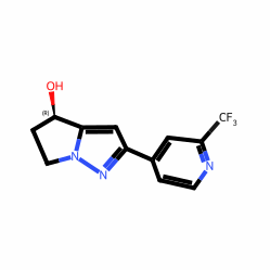 O[C@@H]1CCn2nc(-c3ccnc(C(F)(F)F)c3)cc21